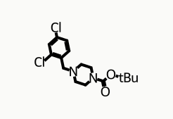 CC(C)(C)OC(=O)N1CCN(Cc2ccc(Cl)cc2Cl)CC1